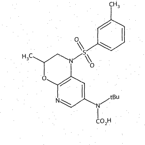 Cc1cccc(S(=O)(=O)N2CC(C)Oc3ncc(N(C(=O)O)C(C)(C)C)cc32)c1